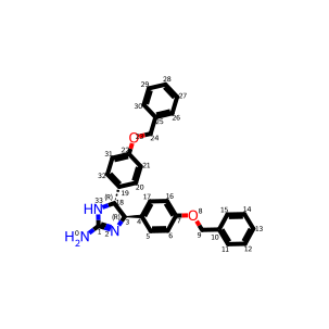 NC1=N[C@H](c2ccc(OCc3ccccc3)cc2)[C@@H](c2ccc(OCc3ccccc3)cc2)N1